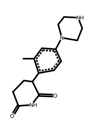 Cc1cc(N2CCNCC2)ccc1C1CCC(=O)NC1=O